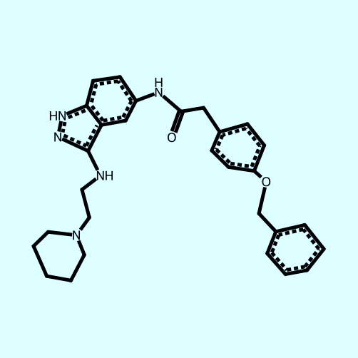 O=C(Cc1ccc(OCc2ccccc2)cc1)Nc1ccc2[nH]nc(NCCN3CCCCC3)c2c1